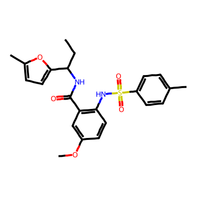 CCC(NC(=O)c1cc(OC)ccc1NS(=O)(=O)c1ccc(C)cc1)c1ccc(C)o1